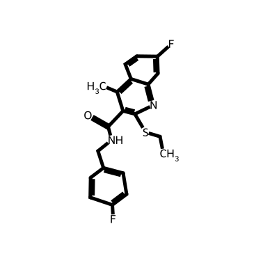 CCSc1nc2cc(F)ccc2c(C)c1C(=O)NCc1ccc(F)cc1